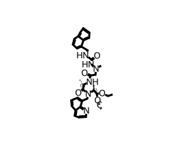 CCOC(OCC)[C@H](C)N(Cc1cccc2cccnc12)C(=O)[C@H](C)NC(=O)CN(C)NC(=O)NCc1cccc2ccccc12